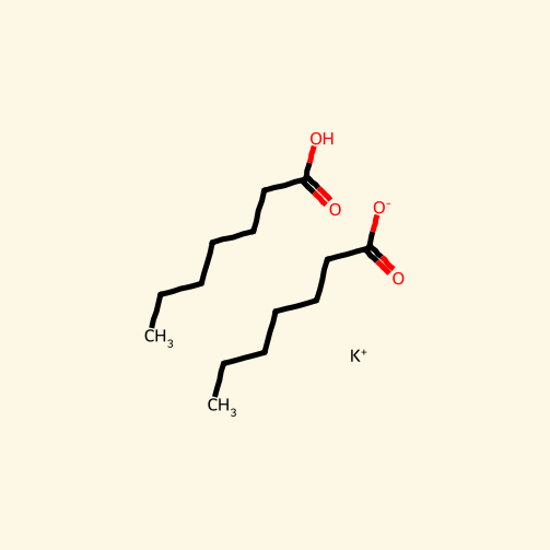 CCCCCCC(=O)O.CCCCCCC(=O)[O-].[K+]